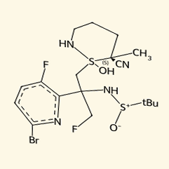 CC(C)(C)[S+]([O-])NC(CF)(CS1(O)NCCC[C@@]1(C)C#N)c1nc(Br)ccc1F